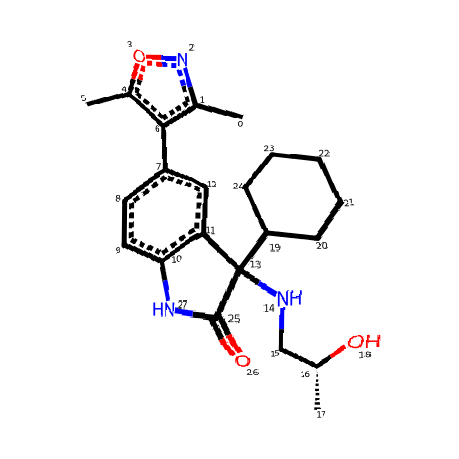 Cc1noc(C)c1-c1ccc2c(c1)C(NC[C@@H](C)O)(C1CCCCC1)C(=O)N2